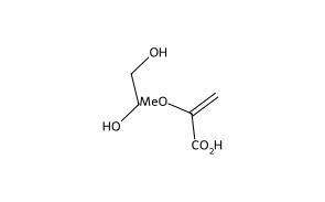 C=C(OC)C(=O)O.OCCO